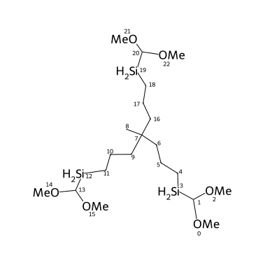 COC(OC)[SiH2]CCCC(C)(CCC[SiH2]C(OC)OC)CCC[SiH2]C(OC)OC